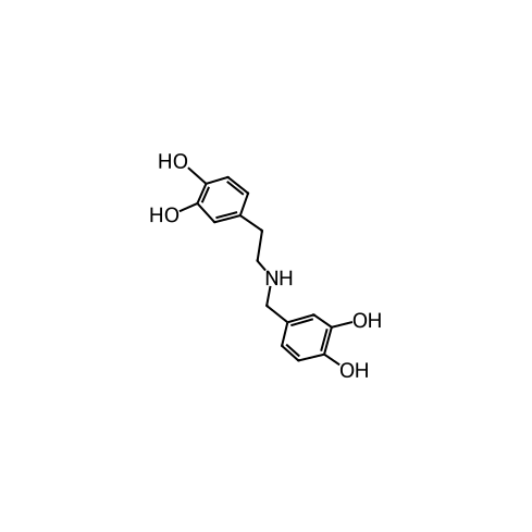 Oc1ccc(CCNCc2ccc(O)c(O)c2)cc1O